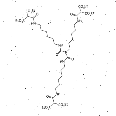 CCOC(=O)C(C(=O)NCCCCCCNC(=O)N(CCCCCCNC(=O)C(C(=O)OCC)C(=O)OCC)C(=O)NCCCCCCNC(=O)C(C(=O)OCC)C(=O)OCC)C(=O)OCC